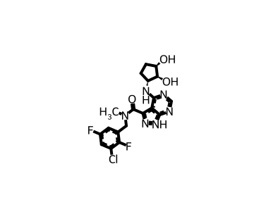 CN(Cc1cc(F)cc(Cl)c1F)C(=O)c1n[nH]c2ncnc(N[C@@H]3CC[C@@H](O)[C@H]3O)c12